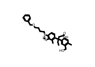 CCC(CC(=O)O)(c1ccc(C)c(CO)c1)c1ccc2c(nnn2CCCCOCc2ccccc2)c1C